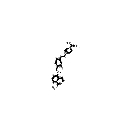 CC(C)N1CC2CC1CN2CCc1ccc(CNc2cccc3c(N)nccc23)c(F)c1